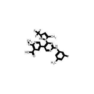 COc1ncc(-c2cnc(Nc3cc(C)cc(F)c3)nc2N2NC(C(F)(F)F)C=C2C)cc1C(=O)O